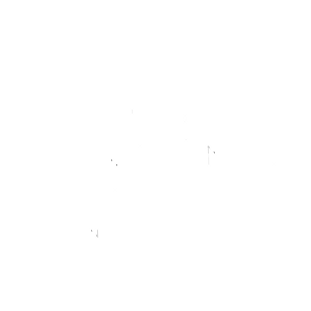 CC(C)c1cccc(C(C)C)c1NC(=O)CC(=O)N(CCN(C)C)Cc1ccccc1